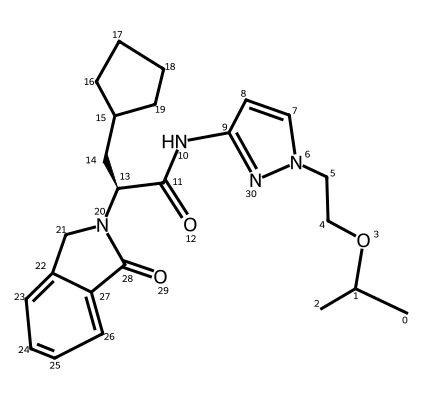 CC(C)OCCn1ccc(NC(=O)[C@H](CC2CCCC2)N2Cc3ccccc3C2=O)n1